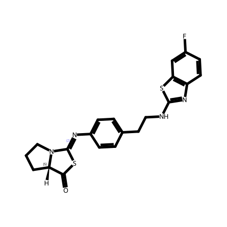 O=C1S/C(=N\c2ccc(CCNc3nc4ccc(F)cc4s3)cc2)N2CCC[C@@H]12